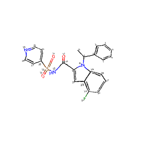 CC(c1ccccc1)n1c(C(=O)NS(=O)(=O)c2ccncc2)cc2c(F)cccc21